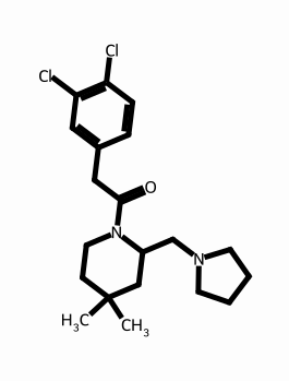 CC1(C)CCN(C(=O)Cc2ccc(Cl)c(Cl)c2)C(CN2CCCC2)C1